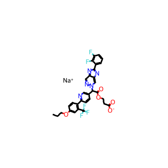 CCCOc1ccc(-c2ccc(C(C(=O)OCCC(=O)[O-])n3cc4nc(-c5cccc(F)c5F)nc-4cn3)cn2)c(C(F)(F)F)c1.[Na+]